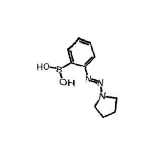 OB(O)c1ccccc1/N=N/N1CCCC1